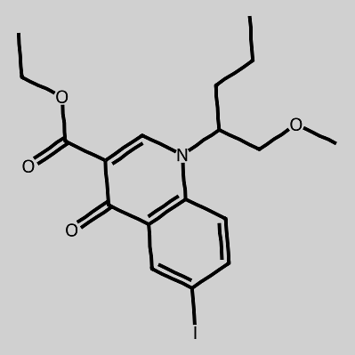 CCCC(COC)n1cc(C(=O)OCC)c(=O)c2cc(I)ccc21